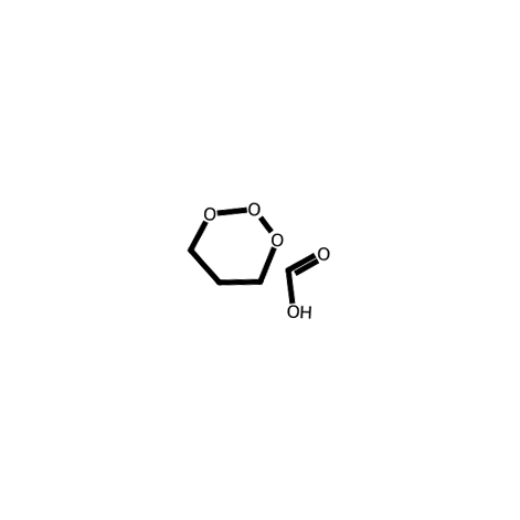 C1COOOC1.O=CO